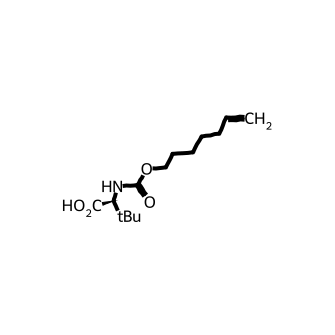 C=CCCCCCOC(=O)N[C@H](C(=O)O)C(C)(C)C